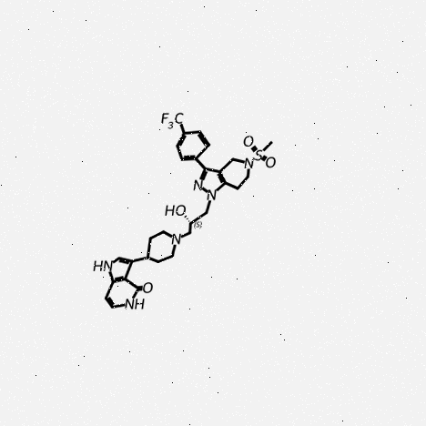 CS(=O)(=O)N1CCc2c(c(-c3ccc(C(F)(F)F)cc3)nn2C[C@@H](O)CN2CCC(c3c[nH]c4cc[nH]c(=O)c34)CC2)C1